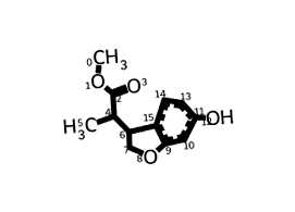 COC(=O)C(C)C1COc2cc(O)ccc21